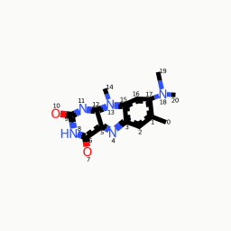 Cc1cc2nc3c(=O)[nH]c(=O)nc-3n(C)c2cc1N(C)C